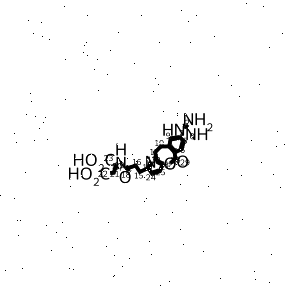 N=C(N)Nc1ccc2c(c1)CCc1nc(CCC(=O)N[C@@H](CC(=O)O)C(=O)O)ccc1OC2=O